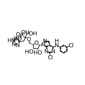 O=P(O)(O)C(CO)(Cc1nn[nH]n1)OC[C@H]1O[C@@H](n2ncc3c(Nc4cccc(Cl)c4)nc(Cl)nc32)[C@H](O)[C@@H]1O